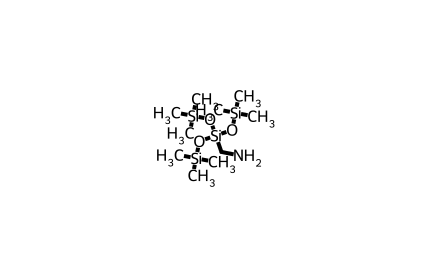 C[Si](C)(C)O[Si](CN)(O[Si](C)(C)C)O[Si](C)(C)C